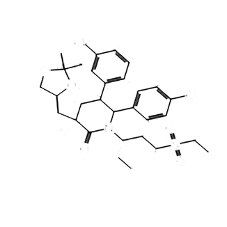 CC[C@@H](CCS(=O)(=O)CC)N1C(=O)[C@@](C)(CC2COC(C)(C)O2)CC(c2cccc(Cl)c2)C1c1ccc(Cl)cc1